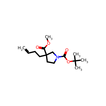 C=CCCC1(C(=O)OC)CCN(C(=O)OC(C)(C)C)C1